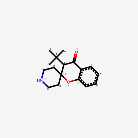 CC(C)(C)C1C(=O)c2ccccc2OC12CCNCC2